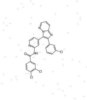 O=C(Nc1cc(-c2c(-c3cccc(Cl)c3)nc3cccnn23)ccn1)c1ccc(Cl)c(Cl)c1